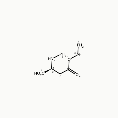 O=C(C[C@H](NP)C(=O)O)OPP